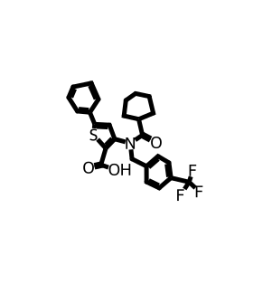 O=C(O)c1sc(-c2ccccc2)cc1N(Cc1ccc(C(F)(F)F)cc1)C(=O)C1CCCCC1